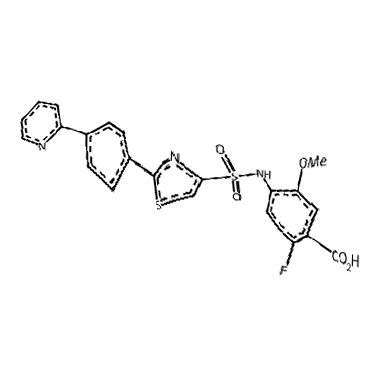 COc1cc(C(=O)O)c(F)cc1NS(=O)(=O)c1csc(-c2ccc(-c3ccccn3)cc2)n1